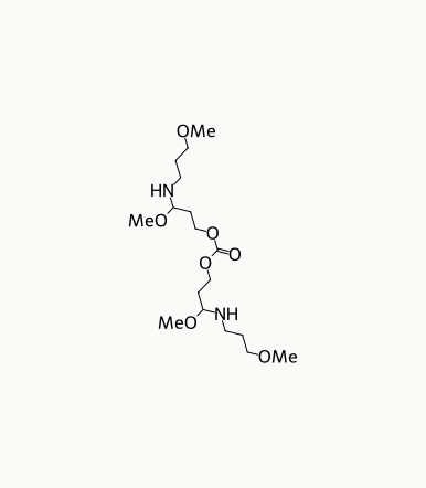 COCCCNC(CCOC(=O)OCCC(NCCCOC)OC)OC